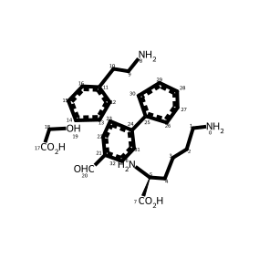 NCCCC[C@H](N)C(=O)O.NCCc1ccccc1.O=C(O)CO.O=Cc1ccc(-c2ccccc2)cc1